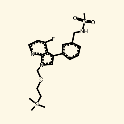 C[Si](C)(C)CCOCn1cc(-c2cccc(CNS(C)(=O)=O)c2)c2c(F)ccnc21